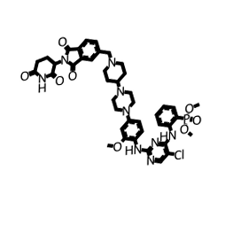 COc1cc(N2CCN(C3CCN(Cc4ccc5c(c4)C(=O)N(C4CCC(=O)NC4=O)C5=O)CC3)CC2)ccc1Nc1ncc(Cl)c(Nc2ccccc2P(=O)(OC)OC)n1